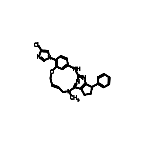 CN1C/C=C/COc2cc(ccc2-n2cnc(Cl)c2)Nc2nc3c(c1n2)CCC3c1ccccc1